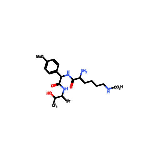 COc1ccc(C(NC(=O)C(N)CCCCNC(=O)O)C(=O)NC(C(C)C)C(O)C(F)(F)F)cc1